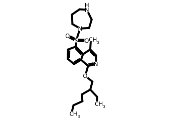 CCCCC(CC)COc1ncc(C)c2c(S(=O)(=O)N3CCCNCC3)cccc12